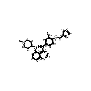 CN1CCC(Oc2cccc3ncnc(Nc4ccc(OCc5cscn5)c(Cl)c4)c23)CC1